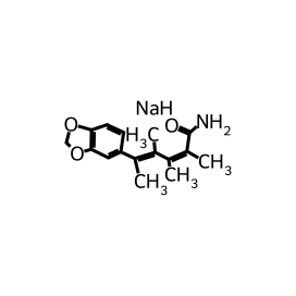 CC(C(N)=O)=C(C)C(C)=C(C)c1ccc2c(c1)OCO2.[NaH]